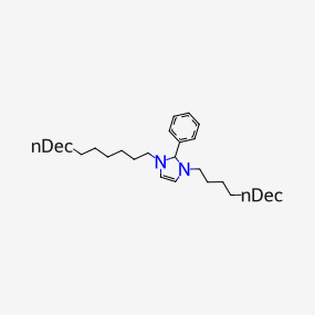 CCCCCCCCCCCCCCCCN1C=CN(CCCCCCCCCCCCCC)C1c1ccccc1